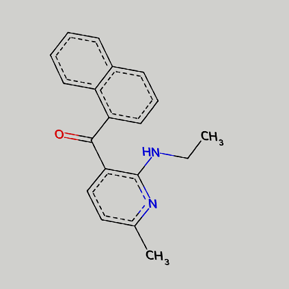 CCNc1nc(C)ccc1C(=O)c1cccc2ccccc12